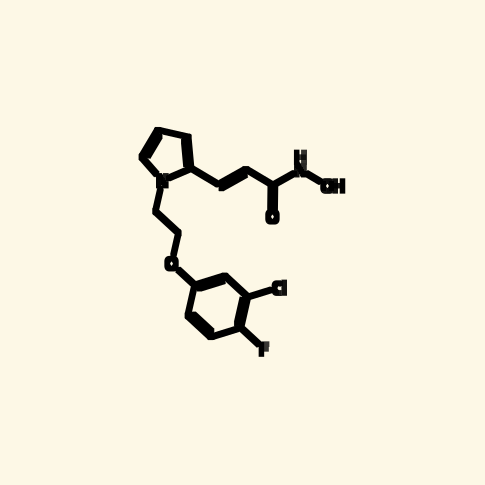 O=C(C=Cc1cccn1CCOc1ccc(F)c(Cl)c1)NO